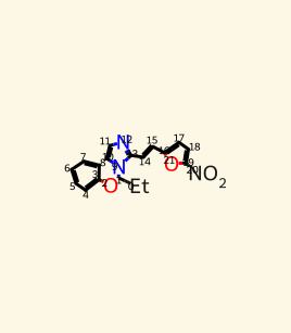 CCC(Oc1ccccc1)n1ccnc1C=Cc1ccc([N+](=O)[O-])o1